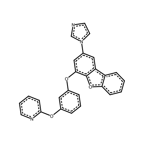 c1ccc(Oc2cccc(Oc3cc(-n4ccnc4)cc4c3oc3ccccc34)c2)nc1